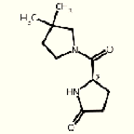 CC1(C)CCN(C(=O)[C@H]2CCC(=O)N2)C1